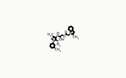 Cc1cccc(-n2nc(C)c(NC(O)COC(=O)Cn3c(C)cc4ccccc43)c2C)c1